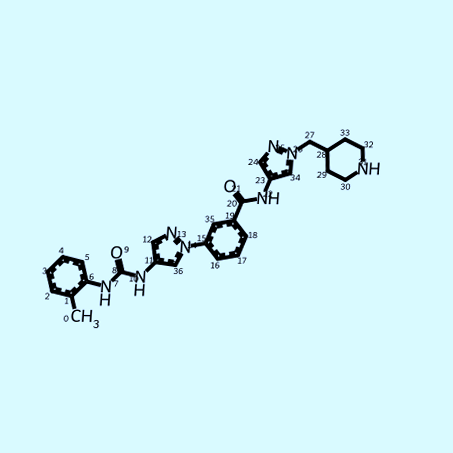 Cc1ccccc1NC(=O)Nc1cnn(-c2cccc(C(=O)Nc3cnn(CC4CCNCC4)c3)c2)c1